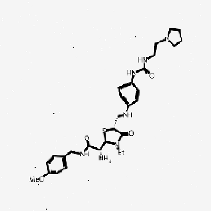 CCN1C(=O)[C@@H](CNc2ccc(NC(=O)NCCN3CCCC3)cc2)SC1[C@H](N)C(=O)NCc1ccc(OC)cc1